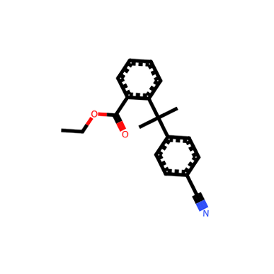 CCOC(=O)c1ccccc1C(C)(C)c1ccc(C#N)cc1